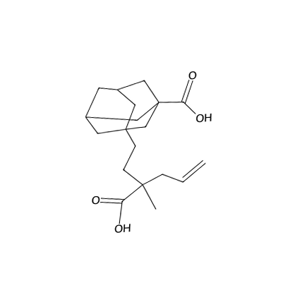 C=CCC(C)(CCC12CC3CC(C1)CC(C(=O)O)(C3)C2)C(=O)O